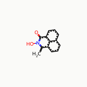 C=c1c2cccc3cccc(c(=O)n1O)c32